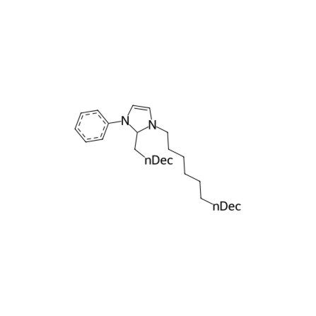 CCCCCCCCCCCCCCCCN1C=CN(c2ccccc2)C1CCCCCCCCCCC